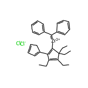 CCC1=C(CC)C(CC)(CC)[C]([Zr+2]=[C](c2ccccc2)c2ccccc2)=C1C1=CC=CC1.[Cl-].[Cl-]